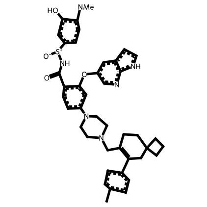 CNc1ccc([S+]([O-])NC(=O)c2ccc(N3CCN(CC4=C(c5ccc(C)cc5)CC5(CCC5)CC4)CC3)cc2Oc2cnc3[nH]ccc3c2)cc1O